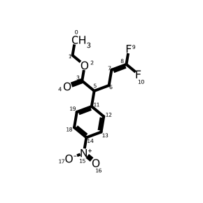 CCOC(=O)C(CC=C(F)F)c1ccc([N+](=O)[O-])cc1